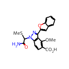 COc1c(C(=O)O)ccc2c1c(-c1cc3ccccc3o1)nn2C(SC)C(N)=O